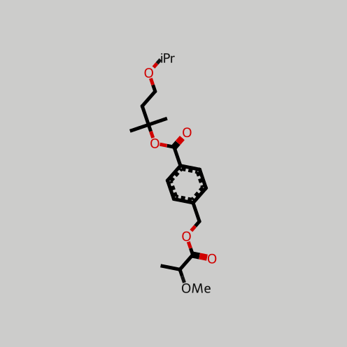 COC(C)C(=O)OCc1ccc(C(=O)OC(C)(C)CCOC(C)C)cc1